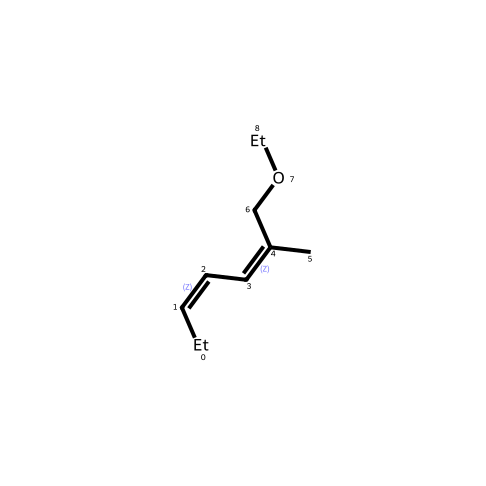 CC/C=C\C=C(\C)COCC